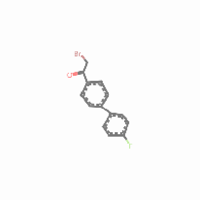 O=C(CBr)c1ccc(-c2ccc(F)cc2)cc1